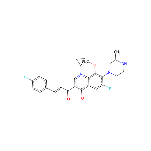 COc1c(N2CCNC(C)C2)c(F)cc2c(=O)c(C(=O)/C=C/c3ccc(F)cc3)cn(C3CC3)c12